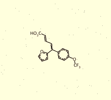 O=C(O)C=CC=C(c1ccc(OC(F)(F)F)cc1)c1ccco1